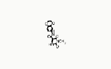 Cn1c(=O)[nH]cc(C(=O)Nc2ccc3c(c2)OCCO3)c1=O